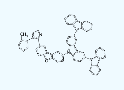 Cc1ccccc1-n1ccnc1-c1ccc2oc3ccc(-n4c5ccc(-n6c7ccccc7c7ccccc76)cc5c5cc(-n6c7ccccc7c7ccccc76)ccc54)cc3c2c1